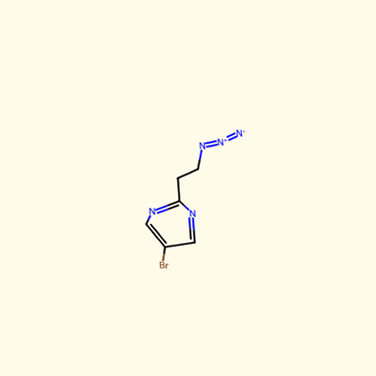 [N-]=[N+]=NCCc1ncc(Br)cn1